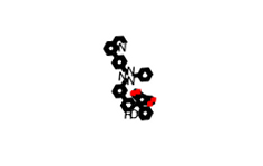 C1=CCCC(c2nc(-c3ccc(-c4cccc5cccnc45)cc3)nc(-c3cccc(C4=CC5[C@@H](C=C4)Oc4ccccc4C54c5ccccc5-c5ccccc54)c3)n2)=C1